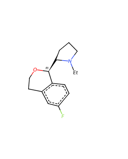 CCN1CCCC1[C@@H]1OCCc2cc(F)ccc21